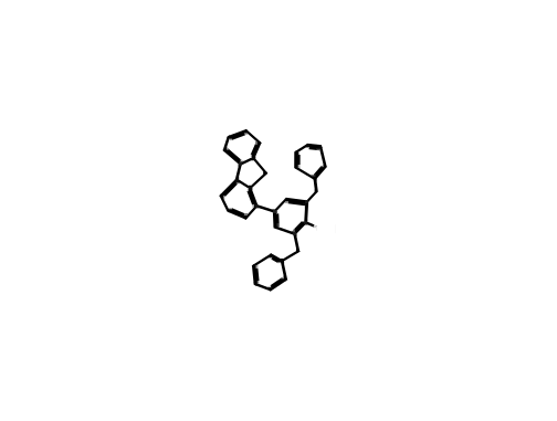 Oc1c(Cc2ccccc2)cc(-c2cccc3c2Cc2ccccc2-3)cc1Cc1ccccc1